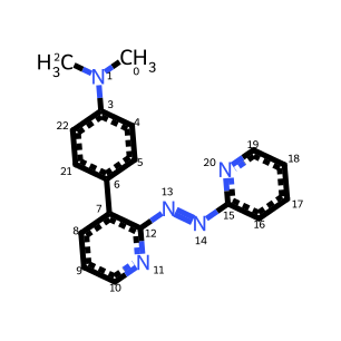 CN(C)c1ccc(-c2cccnc2N=Nc2ccccn2)cc1